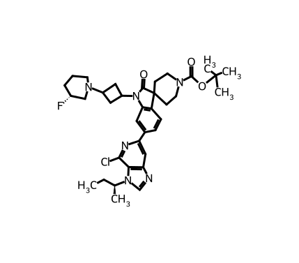 CC[C@H](C)n1cnc2cc(-c3ccc4c(c3)N(C3CC(N5CCC[C@@H](F)C5)C3)C(=O)C43CCN(C(=O)OC(C)(C)C)CC3)nc(Cl)c21